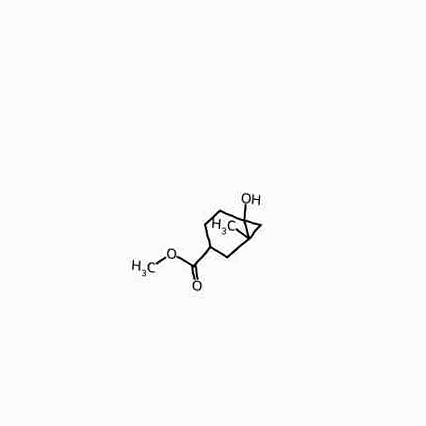 COC(=O)C1CCC2(O)CC2(C)C1